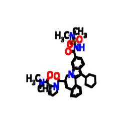 CN(C)C(=O)[C@@H]1CCCN1C(=O)C1=Cc2ccccc2-c2c(C3CCCCC3)c3ccc(C(=O)NS(=O)(=O)N(C)C)cc3n2C1